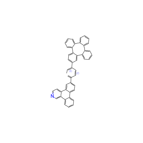 C=C(/C=C\C(=C/C)c1ccc2c(c1)-c1ccccc1-c1ccccc1-c1ccccc1-2)c1ccc2c3ccccc3c3cnccc3c2c1